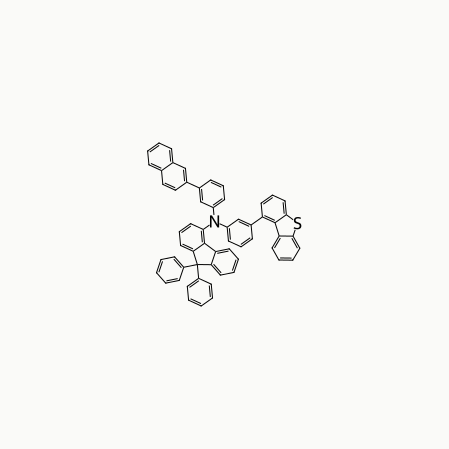 c1ccc(C2(c3ccccc3)c3ccccc3-c3c(N(c4cccc(-c5ccc6ccccc6c5)c4)c4cccc(-c5cccc6sc7ccccc7c56)c4)cccc32)cc1